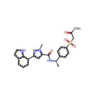 COC(=O)CS(=O)(=O)c1ccc([C@@H](C)NC(=O)c2cc(-c3cccc4cc[nH]c34)nn2C)cc1